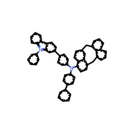 c1ccc(-c2ccc(N(c3ccc(-c4ccc5c6ccccc6n(-c6ccccc6)c5c4)cc3)c3ccc4c5cc(ccc35)Cc3cccc5cccc(c35)C4)cc2)cc1